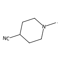 [CH2]N1CCC(C#N)CC1